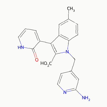 Cc1ccc2c(c1)c(-c1ccc[nH]c1=O)c(C(=O)O)n2Cc1ccnc(N)c1